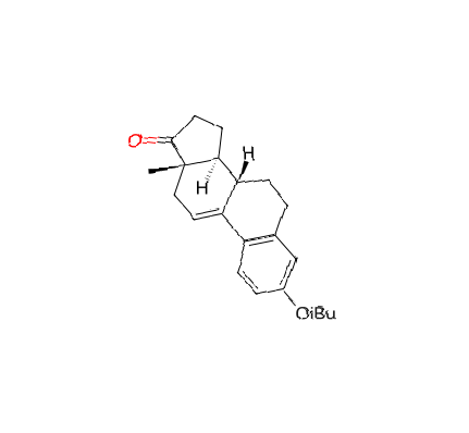 CC(C)COc1ccc2c(c1)CC[C@@H]1C2=CC[C@]2(C)C(=O)CC[C@@H]12